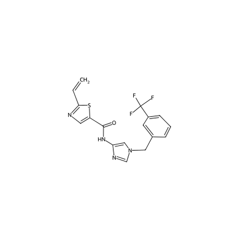 C=Cc1ncc(C(=O)Nc2cn(Cc3cccc(C(F)(F)F)c3)cn2)s1